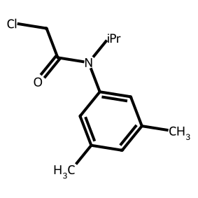 Cc1cc(C)cc(N(C(=O)CCl)C(C)C)c1